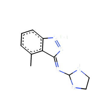 Cc1cccc2c1C(=NC1NCCN1)N=N2.Cl